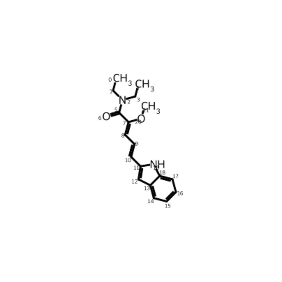 CCN(CC)C(=O)/C(=C/C=C/c1cc2ccccc2[nH]1)OC